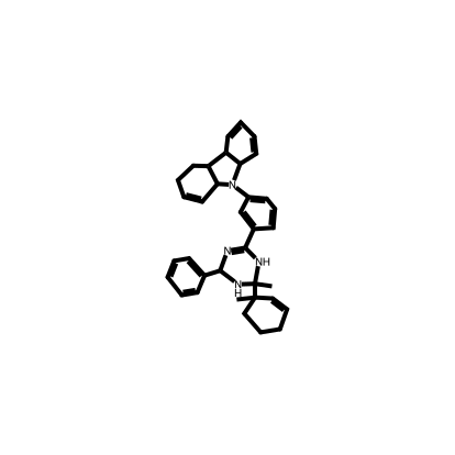 CC1(C2(C)NC(c3cccc(N4C5C=CC=CC5C5CCC=CC54)c3)=NC(c3ccccc3)N2)C=CCCC1